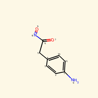 Nc1ccc(CC(=O)N=O)cc1